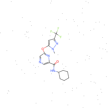 Cn1nc(C(F)(F)F)cc1Oc1cncc(C(=O)NC2CCCCC2)n1